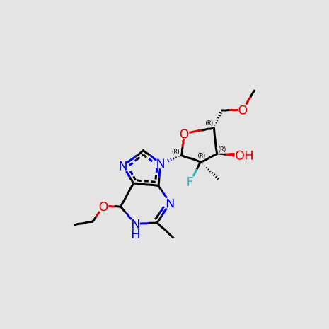 CCOC1NC(C)=Nc2c1ncn2[C@@H]1O[C@H](COC)[C@@H](O)[C@@]1(C)F